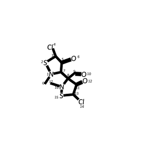 CN1SC(Cl)C(=O)C1C1(C=O)C(=O)C(Cl)SN1C